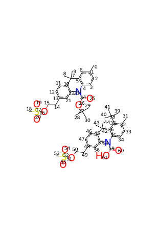 Cc1ccc2c(c1)C(C)(C)c1ccc(CCOS(C)(=O)=O)cc1N2C(=O)OC(C)(C)C.Cc1ccc2c(c1C(C)(C)C)C(C)(C)c1ccc(CCOS(C)(=O)=O)cc1N2C(=O)O